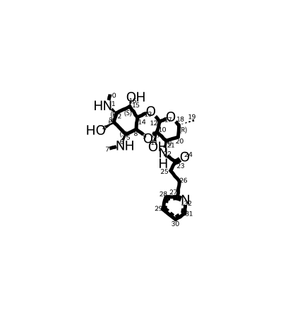 CN[C@@H]1[C@H](O)[C@H](NC)C2O[C@]3(O)C(OC2[C@H]1O)O[C@H](C)C[C@H]3NC(=O)CCc1ccccn1